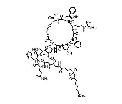 CCCCCCCCCCCCCCCC(=O)CS(=O)(=O)CCCC(=O)NCC(=O)N[C@@H](CO)C(=O)N[C@@H](CCC(N)=O)C(=O)N[C@@H](CC1=CCC=N1)C(=O)N[C@@H](CO)C(=O)N[C@@H](C)C(=O)N[C@H]1CCC(=O)CCCCC[C@@H](C(N)=O)NC(=O)[C@H](Cc2c[nH]c3ccccc23)NC(=O)[C@H](CCCNC(=N)N)NC(=O)[C@@H](Cc2ccccc2)NC(=O)[C@@H]2C[C@@H](O)CN2C1=O